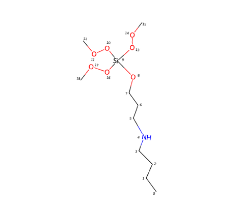 CCCCNCCCO[Si](OOC)(OOC)OOC